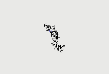 Cc1cccc(CN2CCC(CNc3nccc(/C=C4/SC(=O)NC4=O)n3)CC2)n1